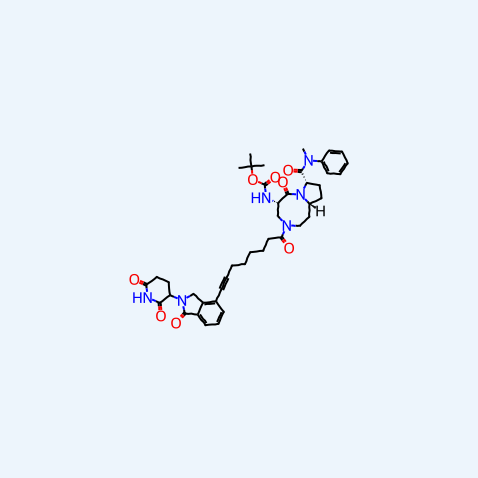 CN(C(=O)[C@@H]1CC[C@@H]2CCN(C(=O)CCCCCC#Cc3cccc4c3CN(C3CCC(=O)NC3=O)C4=O)C[C@H](NC(=O)OC(C)(C)C)C(=O)N21)c1ccccc1